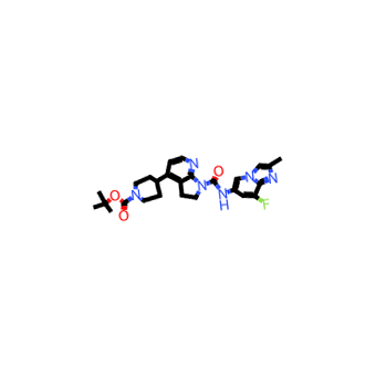 Cc1cn2cc(NC(=O)N3CCc4c(C5CCN(C(=O)OC(C)(C)C)CC5)ccnc43)cc(F)c2n1